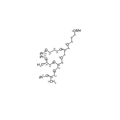 COCCCOCC(COCC(COCC(C)OC(C)C)OCC(C)OC(C)C)OCCCOC(C)C